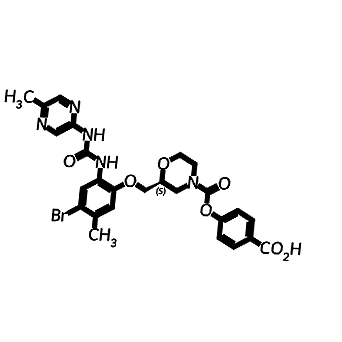 Cc1cnc(NC(=O)Nc2cc(Br)c(C)cc2OC[C@@H]2CN(C(=O)Oc3ccc(C(=O)O)cc3)CCO2)cn1